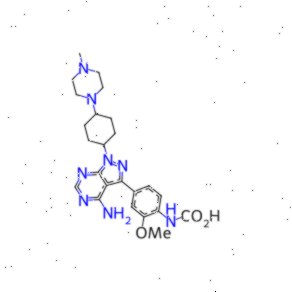 COc1cc(-c2nn(C3CCC(N4CCN(C)CC4)CC3)c3ncnc(N)c23)ccc1NC(=O)O